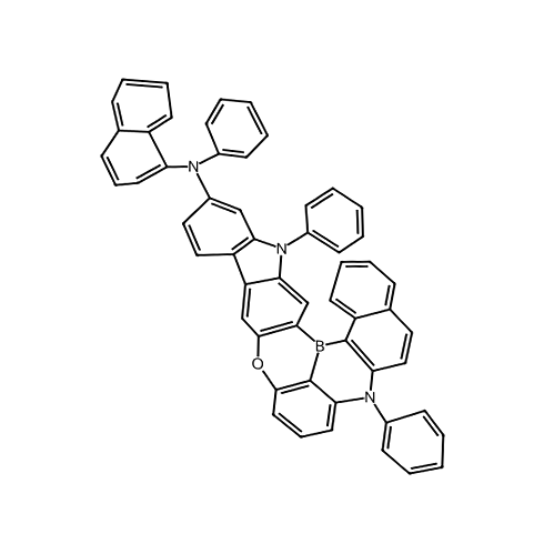 c1ccc(N2c3cccc4c3B(c3cc5c(cc3O4)c3ccc(N(c4ccccc4)c4cccc6ccccc46)cc3n5-c3ccccc3)c3c2ccc2ccccc32)cc1